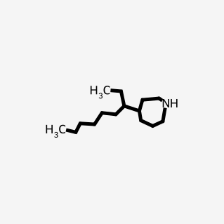 CCCCCCC(CC)C1CCCNCC1